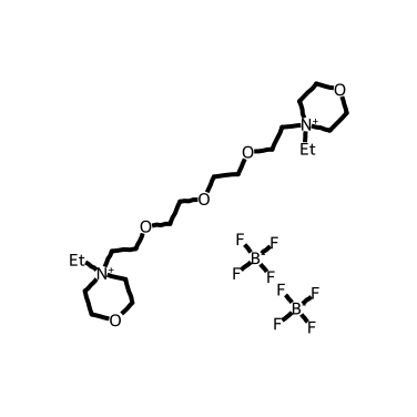 CC[N+]1(CCOCCOCCOCC[N+]2(CC)CCOCC2)CCOCC1.F[B-](F)(F)F.F[B-](F)(F)F